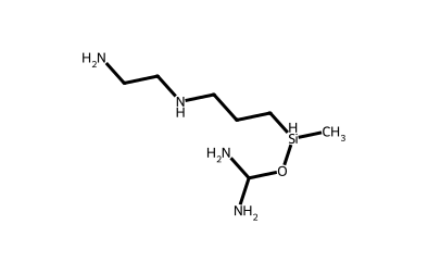 C[SiH](CCCNCCN)OC(N)N